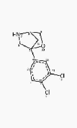 Clc1ccc(C23CNC(CO2)C3)cc1Cl